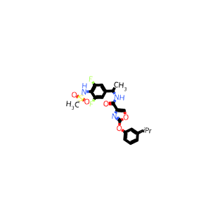 CC(C)c1cccc(Oc2nc(C(=O)NC(C)c3cc(F)c(NS(C)(=O)=O)c(F)c3)co2)c1